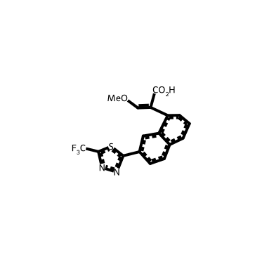 COC=C(C(=O)O)c1cccc2ccc(-c3nnc(C(F)(F)F)s3)cc12